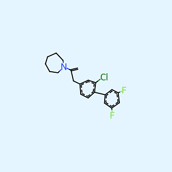 C=C(Cc1ccc(-c2cc(F)cc(F)c2)c(Cl)c1)N1CCCCCC1